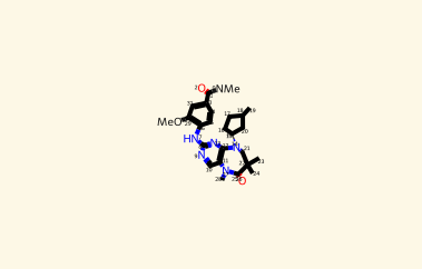 CNC(=O)c1ccc(Nc2ncc3c(n2)N([C@@H]2CCC(C)C2)CC(C)(C)C(=O)N3C)c(OC)c1